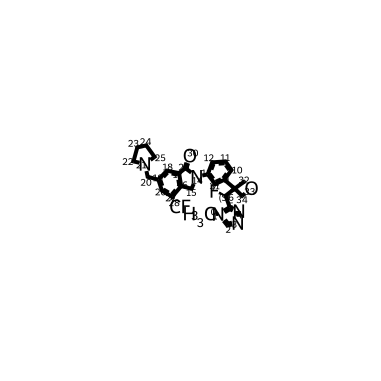 Cn1cnnc1[C@@H](F)C1(c2cccc(N3Cc4c(cc(CN5CCCC5)cc4C(F)(F)F)C3=O)c2)COC1